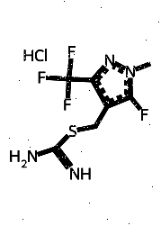 Cl.Cn1nc(C(F)(F)F)c(CSC(=N)N)c1F